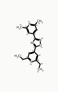 CCc1cc(-c2nc(-c3cc(C)nc(C)c3)no2)cc(CC)n1